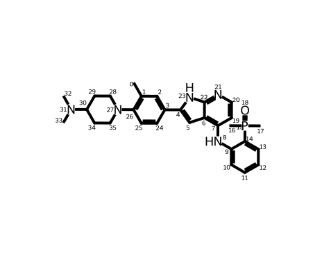 Cc1cc(-c2cc3c(Nc4ccccc4P(C)(C)=O)ccnc3[nH]2)ccc1N1CCC(N(C)C)CC1